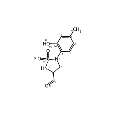 Cc1ccc(N2CC(C=O)NS2(=O)=O)c(O)c1